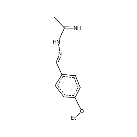 CCOc1ccc(/C=N/NC(C)=N)cc1